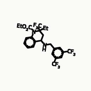 CCOC(=O)N1c2ccccc2C(NCc2cc(C(F)(F)F)cc(C(F)(F)F)c2)CC1(CC)C(F)(F)F